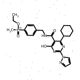 CCO[P@@](C)(=O)c1ccc(CNC(=O)c2c(O)nc(-n3cccn3)nc2C2CCCCC2)cc1